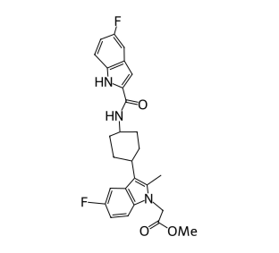 COC(=O)Cn1c(C)c(C2CCC(NC(=O)c3cc4cc(F)ccc4[nH]3)CC2)c2cc(F)ccc21